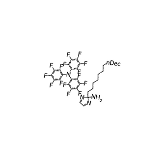 CCCCCCCCCCCCCCCCCC1(N)N=CC=N1.Fc1c(F)c(F)c(N(c2c(F)c(F)c(F)c(F)c2F)c2c(F)c(F)c(F)c(F)c2F)c(F)c1F